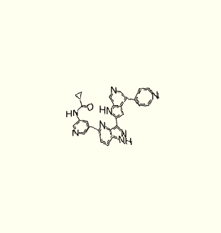 O=C(Nc1cncc(-c2ccc3[nH]nc(-c4cc5c(-c6ccncc6)cncc5[nH]4)c3n2)c1)C1CC1